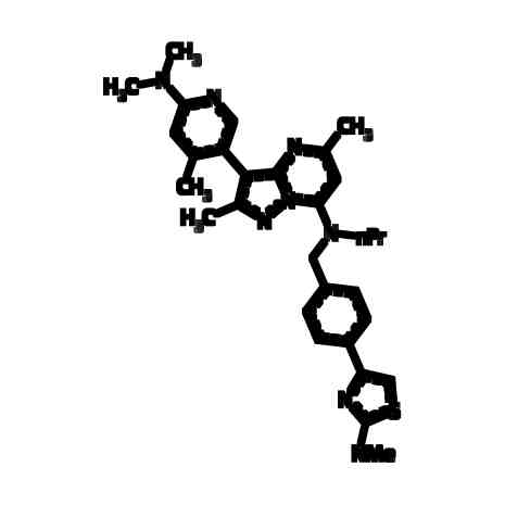 CCCN(Cc1ccc(-c2csc(NC)n2)cc1)c1cc(C)nc2c(-c3cnc(N(C)C)cc3C)c(C)nn12